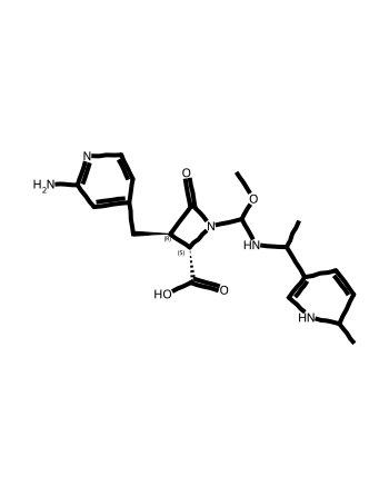 COC(NC(C)C1=CNC(C)C=C1)N1C(=O)[C@H](Cc2ccnc(N)c2)[C@H]1C(=O)O